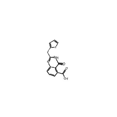 O=C(O)c1cccc2nc(Cc3cccs3)[nH]c(=O)c12